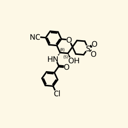 N#Cc1ccc2c(c1)[C@@H](NC(=O)c1cccc(Cl)c1)[C@H](O)C1(CCS(=O)(=O)CC1)O2